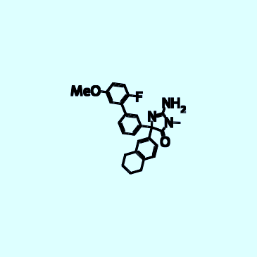 COc1ccc(F)c(-c2cccc(C3(c4ccc5c(c4)CCCC5)N=C(N)N(C)C3=O)c2)c1